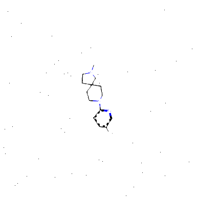 N#Cc1ccc(N2CCC3(CCN(C(=O)O)C3)CC2)nc1